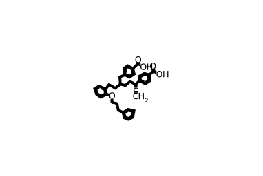 C=C=C(CCC(CCc1ccccc1OCCCc1ccccc1)Cc1ccc(C(=O)O)cc1)c1ccc(C(=O)O)cc1